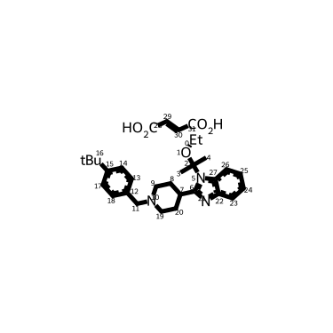 CCOC(C)(C)n1c(C2CCN(Cc3ccc(C(C)(C)C)cc3)CC2)nc2ccccc21.O=C(O)/C=C/C(=O)O